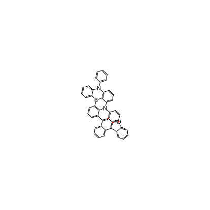 c1ccc(N2c3ccccc3B3c4cccc(-c5cc6oc7ccccc7c6c6ccccc56)c4N(c4ccccc4)c4cccc2c43)cc1